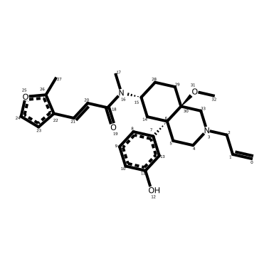 C=CCN1CC[C@@]2(c3cccc(O)c3)C[C@H](N(C)C(=O)/C=C/c3ccoc3C)CC[C@]2(OC)C1